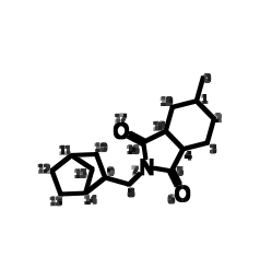 CC1CCC2C(=O)N(CC3CC4CCC3C4)C(=O)C2C1